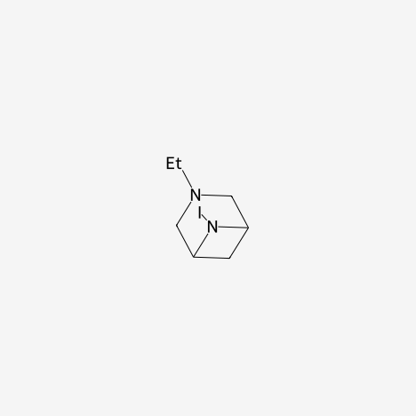 CCN1CC2CC(C1)N2I